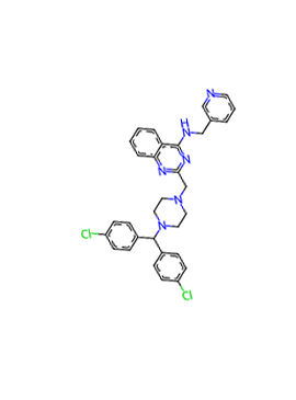 Clc1ccc(C(c2ccc(Cl)cc2)N2CCN(Cc3nc(NCc4cccnc4)c4ccccc4n3)CC2)cc1